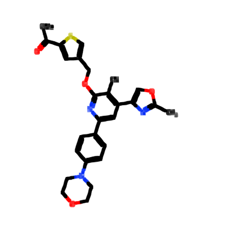 COC(=O)c1cc(COc2nc(-c3ccc(N4CCOCC4)cc3)cc(-c3coc(C)n3)c2C#N)cs1